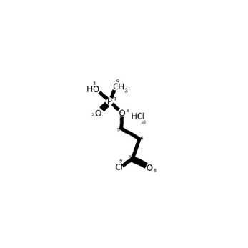 CP(=O)(O)OCCC(=O)Cl.Cl